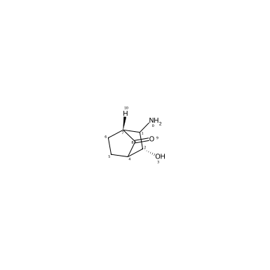 NC1[C@H](O)C2CC[C@H]1C2=O